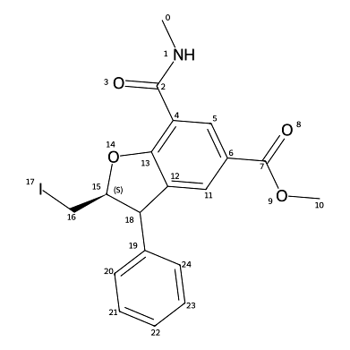 CNC(=O)c1cc(C(=O)OC)cc2c1O[C@H](CI)C2c1ccccc1